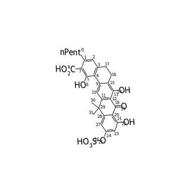 CCCCCc1cc2c(c(O)c1C(=O)O)-c1cc3c(c(O)c1CC2)C(=O)c1c(O)cc(OS(=O)(=O)O)cc1C3(C)C